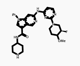 COC1CCN(c2nccc(Nc3cc4c(cn3)c(C(=O)NC3CCNCC3)cn4C(C)C)n2)C[C@H]1F